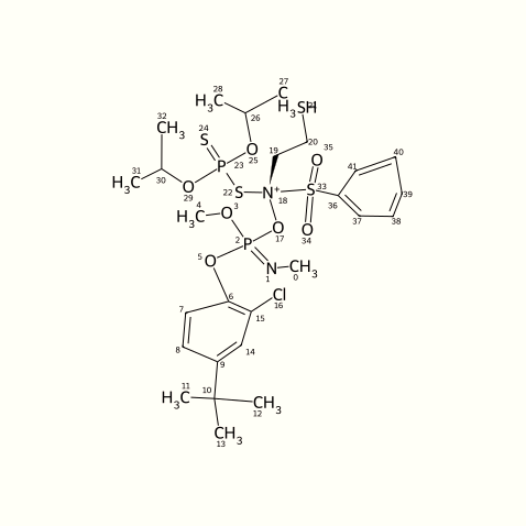 CN=P(OC)(Oc1ccc(C(C)(C)C)cc1Cl)O[N@+](CCS)(SP(=S)(OC(C)C)OC(C)C)S(=O)(=O)c1ccccc1